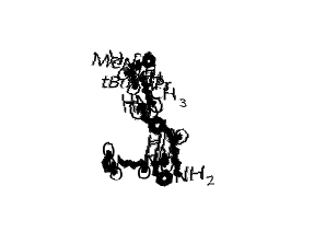 CNC(C(=O)NC(C(=O)N(C)C(C=C(C)C(=O)NS(=O)(=O)Cc1ccc(CNC(=O)C(CCCCN)NC(=O)C(Cc2ccccc2)NC(=O)CCCCCN2C(=O)C=CC2=O)cc1)C(C)C)C(C)(C)C)C(C)(C)c1ccccc1